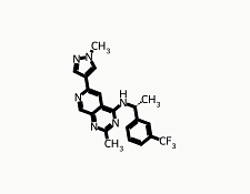 Cc1nc(N[C@H](C)c2cccc(C(F)(F)F)c2)c2cc(-c3cnn(C)c3)ncc2n1